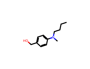 CCCCN(C)c1ccc(CO)cc1